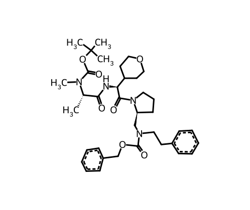 C[C@@H](C(=O)N[C@H](C(=O)N1CCC[C@H]1CN(CCc1ccccc1)C(=O)OCc1ccccc1)C1CCOCC1)N(C)C(=O)OC(C)(C)C